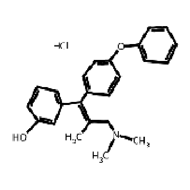 CC(CN(C)C)=C(c1ccc(Oc2ccccc2)cc1)c1cccc(O)c1.Cl